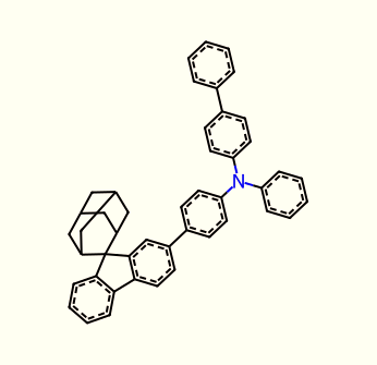 c1ccc(-c2ccc(N(c3ccccc3)c3ccc(-c4ccc5c(c4)C4(c6ccccc6-5)C5CC6CC(C5)CC4C6)cc3)cc2)cc1